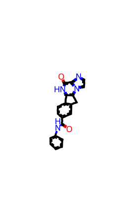 O=C(Nc1ccccc1)c1ccc2c(c1)Cc1c-2[nH]c(=O)c2nccn12